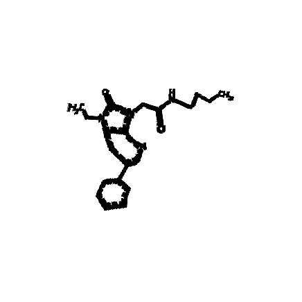 CCCCNC(=O)Cn1c(=O)n(CC)c2cc(-c3ccccc3)cnc21